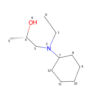 CCN(C[C@H](C)O)C1CCCCC1